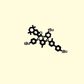 Cc1cc2c3c(c1)N(c1ccc(C(C)(C)C)cc1)c1c(oc4cc5c(cc14)C(C)(C)CCC5(C)C)B3C1=C(CCC(C(C)(C)C)=C1)N2c1ccc(-c2ccc(C(C)(C)C)cc2)cc1C